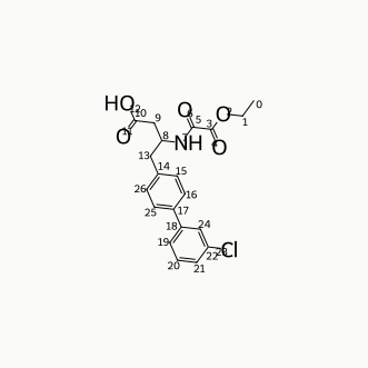 CCOC(=O)C(=O)NC(CC(=O)O)Cc1ccc(-c2cccc(Cl)c2)cc1